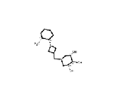 O[C@H]1[C@H](O)CN(CC2CN([C@H]3CCCC[C@H]3C(F)(F)F)C2)C[C@@H]1O